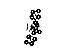 C[Si](C)(C)C1([Si](C)(C)C)c2c(ccc3cc(N(c4ccccc4)c4cccc5c4oc4c(-c6ccccc6)cccc45)ccc23)-c2c1c1ccc(N(c3ccccc3)c3cccc4c3oc3c(-c5ccccc5)cccc34)cc1c1ccccc21